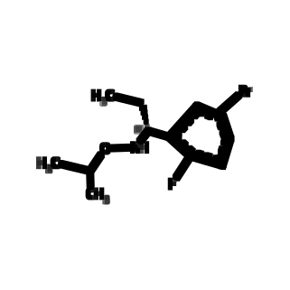 CC[C@@H](NOC(C)C)c1cc(Br)ccc1F